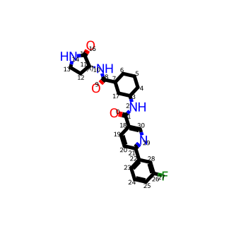 O=C(NC1CCCC(C(=O)N[C@@H]2CCNC2=O)C1)c1ccc(-c2cccc(F)c2)nc1